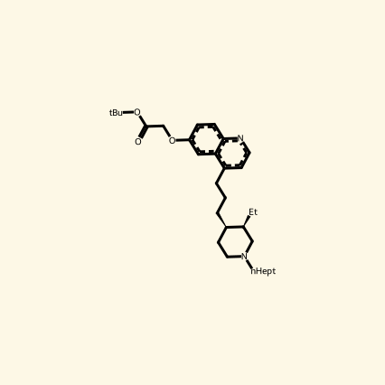 CCCCCCCN1CC[C@@H](CCCc2ccnc3ccc(OCC(=O)OC(C)(C)C)cc23)[C@@H](CC)C1